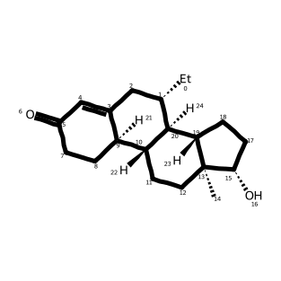 CC[C@H]1CC2=CC(=O)CC[C@@H]2[C@H]2CC[C@]3(C)[C@@H](O)CC[C@H]3[C@H]12